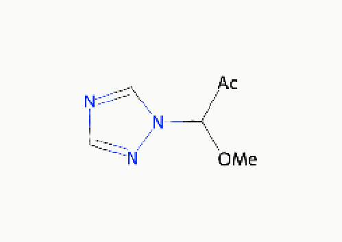 COC(C(C)=O)n1cncn1